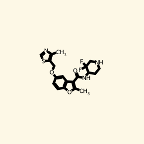 Cc1ncsc1COc1ccc2oc(C)c(C(=O)NC3CCNCC3(F)F)c2c1